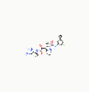 Cc1c(C(=O)C(=O)NC2(/C(N)=C/N)CC2)c2n(c1C(=O)Nc1cc(F)cc(C#N)c1)CCC2